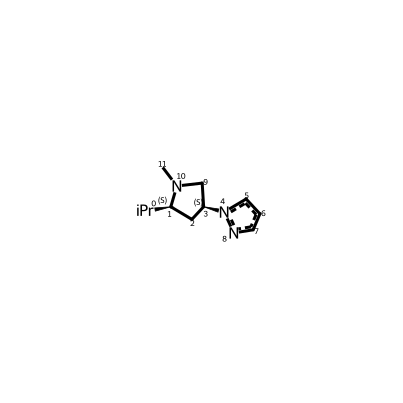 CC(C)[C@@H]1C[C@H](n2cccn2)CN1C